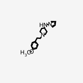 COc1ccc(CCN2CCC(Nn3cccc3)CC2)cc1